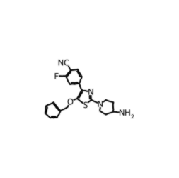 N#Cc1ccc(-c2nc(N3CCC(N)CC3)sc2OCc2ccccc2)cc1F